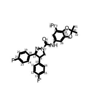 CC(C)c1cc(NC(=O)N2CC(c3ccc(F)cc3)C(c3ccc(F)cc3)=N2)cc2c1OC(C)(C)O2